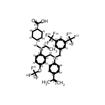 C=C(C)c1ccc(N(Cc2cc(C(F)(F)F)cc(C(F)(F)F)c2)Cc2cc(OC(F)(F)F)ccc2N(CC)C[C@H]2CC[C@H](C(=O)O)CC2)cc1